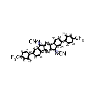 [C-]#[N+]/N=c1\c2cc(-c3ccc(C(F)(F)F)cc3F)ccc2c2nc3/c(=N/C#N)c4cc(-c5ccc(C(F)(F)F)cc5F)ccc4c3nc12